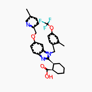 Cc1ccc(COc2ccc3nc([C@H]4CCCC[C@H]4C(=O)O)n(Cc4ccc(OC(F)(F)F)cc4C)c3c2)nc1